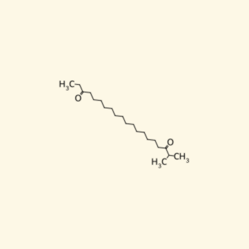 CCC(=O)CCCCCCCCCCCCCCC(=O)C(C)C